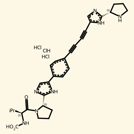 CC(C)[C@H](NC(=O)O)C(=O)N1CCC[C@H]1c1ncc(-c2ccc(C#CC#Cc3cnc([C@@H]4CCCN4)[nH]3)cc2)[nH]1.Cl.Cl.Cl